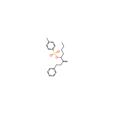 C=C(CCc1ccccc1)C(CCCC)OS(=O)(=O)c1ccc(C)cc1